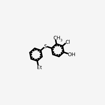 CCc1cccc(Sc2ccc(O)c(Cl)c2C)c1